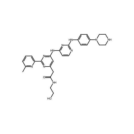 Cc1cccc(-c2nc(CC(=O)NCCO)cc(Nc3ccnc(Nc4ccc(N5CCNCC5)cc4)n3)n2)n1